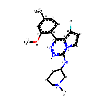 CCN1CCCC(Nc2nnc(-c3ccc(OC)cc3OC(F)(F)F)c3c(F)ccn23)C1